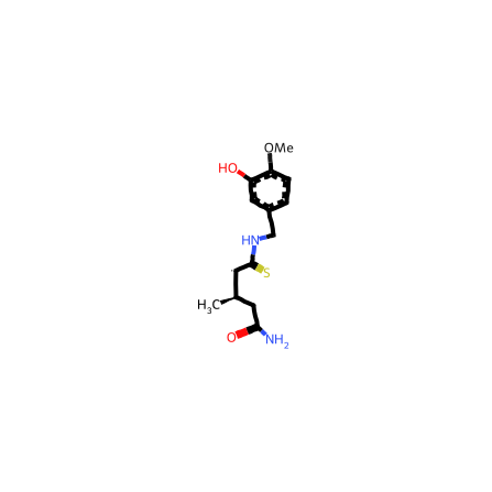 COc1ccc(CNC(=S)[CH][C@H](C)CC(N)=O)cc1O